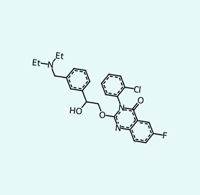 CCN(CC)Cc1cccc(C(O)COc2nc3ccc(F)cc3c(=O)n2-c2ccccc2Cl)c1